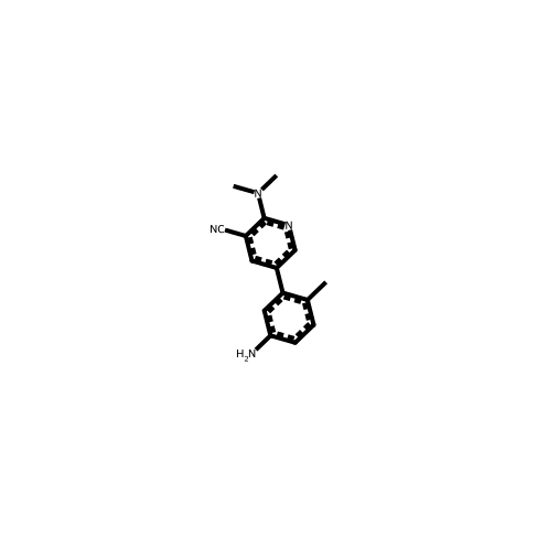 Cc1ccc(N)cc1-c1cnc(N(C)C)c(C#N)c1